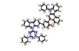 c1ccc(-c2nc(-c3ccccc3)nc(-n3c4ccccc4c4ccc(-c5ccc6c(c5)-c5cc7c(c8cccc(c58)O6)c5ccccc5n7-c5ccccc5)cc43)n2)cc1